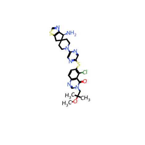 COC(C)(C)Cn1cnc2ccc(Sc3cnc(N4CCC5(CC4)Cc4scnc4[C@H]5N)cn3)c(Cl)c2c1=O